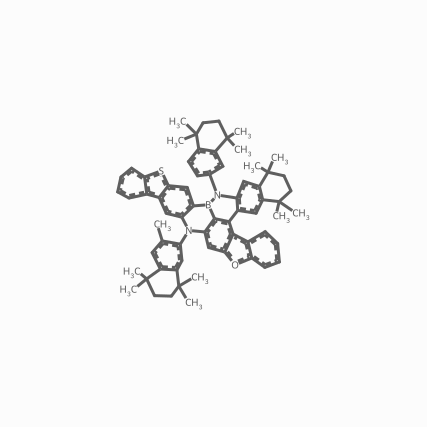 Cc1cc2c(cc1N1c3cc4c(cc3B3c5c1cc1oc6ccccc6c1c5-c1cc5c(cc1N3c1ccc3c(c1)C(C)(C)CCC3(C)C)C(C)(C)CCC5(C)C)sc1ccccc14)C(C)(C)CCC2(C)C